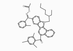 CCCCC(CC)Cn1c2ccc(/C(=N\OC(C)=O)c3ccccc3C)cc2c2cc(C(=O)c3c(C)cc(C)cc3C)c3ccccc3c21